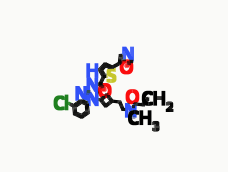 C=CC(=O)N(C)CCC1CC(n2c(NC(=O)c3ccc(-c4cnco4)s3)nc3c(Cl)cccc32)C1